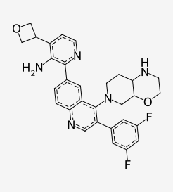 Nc1c(C2COC2)ccnc1-c1ccc2ncc(-c3cc(F)cc(F)c3)c(N3CCC4NCCOC4C3)c2c1